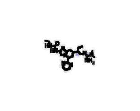 C=C/C(=C\N=C(/N)N(C)C)c1cc(-c2ncccn2)n2cc(NC(=O)NCC)nc2c1